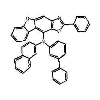 c1ccc(-c2cccc(N(c3ccc4ccccc4c3)c3c4oc(-c5ccccc5)nc4cc4oc5ccccc5c34)c2)cc1